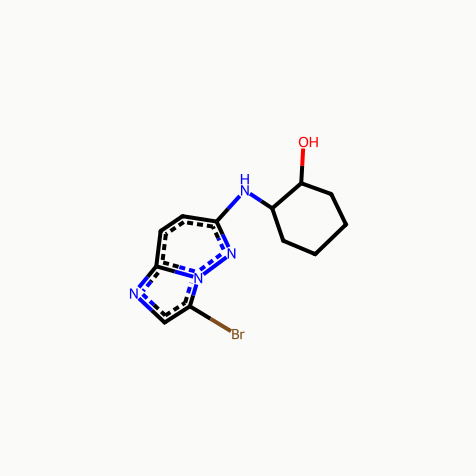 OC1CCCCC1Nc1ccc2ncc(Br)n2n1